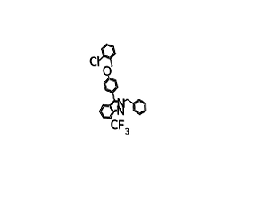 FC(F)(F)c1cccc2c(-c3ccc(OCc4ccccc4Cl)cc3)n(Cc3ccccc3)nc12